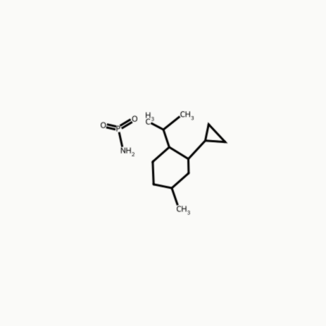 CC1CCC(C(C)C)C(C2CC2)C1.NP(=O)=O